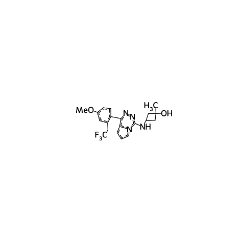 COc1ccc(-c2nnc(NC3CC(C)(O)C3)n3cccc23)c(CC(F)(F)F)c1